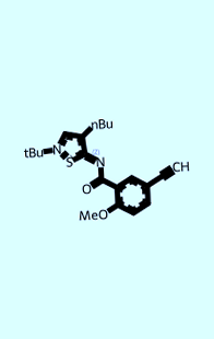 C#Cc1ccc(OC)c(C(=O)/N=c2\sn(C(C)(C)C)cc2CCCC)c1